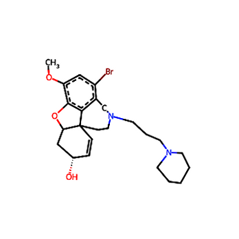 COc1cc(Br)c2c3c1OC1C[C@@H](O)C=CC31CCN(CCCN1CCCCC1)C2